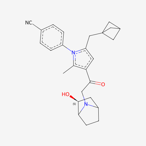 Cc1c(C(=O)CN2C3CCC2[C@@H](O)C3)cc(CC23CC(C2)C3)n1-c1ccc(C#N)cc1